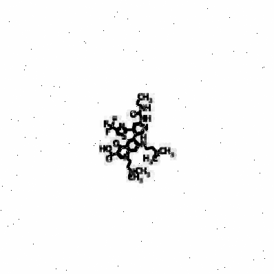 CCNC(=O)Nc1cc(-c2nc(C(F)(F)F)cs2)c(-c2cc3c(=O)c(C(=O)O)cn(CCN(C)C)c3cc2NCCN(C)C)cn1